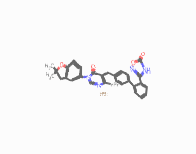 Br.CCCc1ncn(-c2ccc3c(c2)CC(C)(C)O3)c(=O)c1Cc1ccc(-c2ccccc2-c2noc(=O)[nH]2)cc1